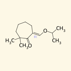 CC(C)O/C=C1\CCCCC(C)(C)C1=O